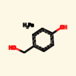 OCc1ccc(O)cc1.[PoH2]